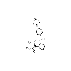 CC(=O)N1c2ccccc2[C@H](Nc2ccc(N3CCOCC3)cc2)C[C@@H]1C